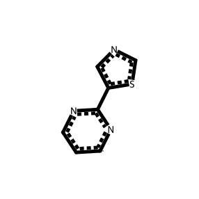 [c]1ccnc(-c2cncs2)n1